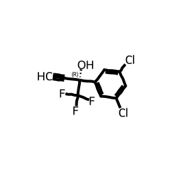 C#C[C@@](O)(c1cc(Cl)cc(Cl)c1)C(F)(F)F